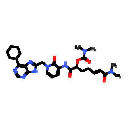 CN(C)C(=O)/C=C/CC[C@H](OC(=O)N(C)C)C(=O)Nc1cccn(Cc2nc3c(C4CCCCC4)ncnc3[nH]2)c1=O